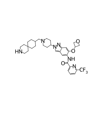 O=C(Nc1cc2cn(C3CCN(CC4CCC5(CCNCC5)CC4)CC3)nc2cc1OC1COC1)c1cccc(C(F)(F)F)n1